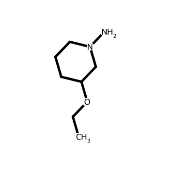 CCOC1CCCN(N)C1